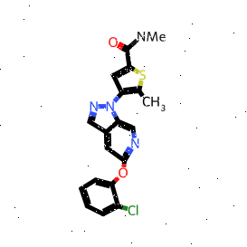 CNC(=O)c1cc(-n2ncc3cc(Oc4ccccc4Cl)ncc32)c(C)s1